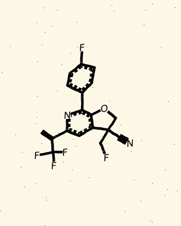 C=C(c1cc2c(c(-c3ccc(F)cc3)n1)OCC2(C#N)CF)C(F)(F)F